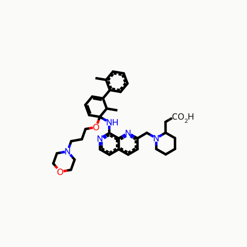 Cc1ccccc1C1=CC=CC(Nc2nccc3ccc(CN4CCCCC4CC(=O)O)nc23)(OCCCN2CCOCC2)C1C